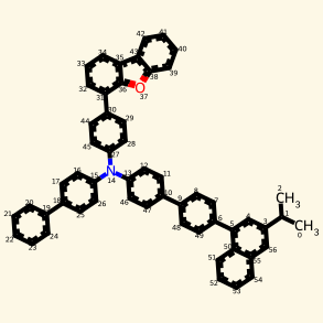 CC(C)c1cc(-c2ccc(-c3ccc(N(c4ccc(-c5ccccc5)cc4)c4ccc(-c5cccc6c5oc5ccccc56)cc4)cc3)cc2)c2ccccc2c1